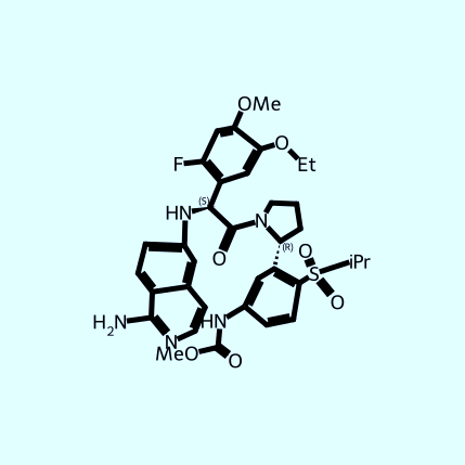 CCOc1cc([C@H](Nc2ccc3c(N)nccc3c2)C(=O)N2CCC[C@@H]2c2cc(NC(=O)OC)ccc2S(=O)(=O)C(C)C)c(F)cc1OC